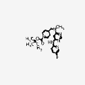 CN(CC1CCN(C(=O)OC(C)(C)C)CC1)c1cc(Nc2ccc(F)cn2)ncn1